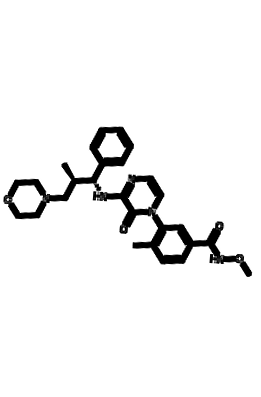 CONC(=O)c1ccc(C)c(-n2ccnc(N[C@@H](c3ccccc3)[C@H](C)CN3CCOCC3)c2=O)c1